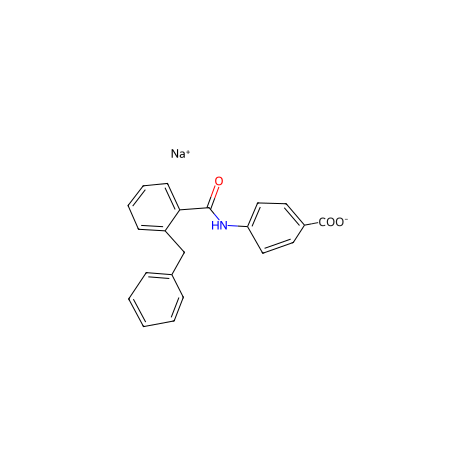 O=C([O-])c1ccc(NC(=O)c2ccccc2Cc2ccccc2)cc1.[Na+]